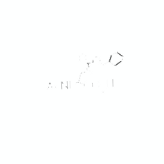 CC(=O)N[C@@H](CSC(=O)OCc1ccccc1)C(=O)O